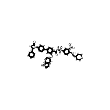 O=C(NS(=O)(=O)c1ccc(NCC2CCOCC2)c([N+](=O)[O-])c1)c1ccc(-c2ccc(N3C(=O)CC3c3ccccc3)cc2)cc1Oc1cnc2[nH]ccc2c1